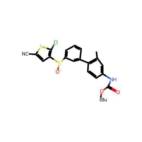 Cc1cc(NC(=O)OC(C)(C)C)ccc1-c1cccc([S+]([O-])c2cc(C#N)sc2Cl)c1